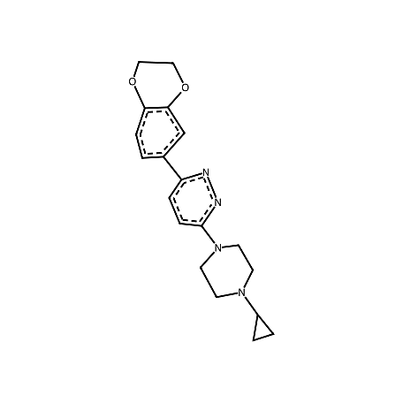 c1cc2c(cc1-c1ccc(N3CCN(C4CC4)CC3)nn1)OCCO2